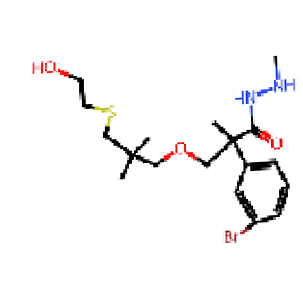 CNNC(=O)C(C)(COCC(C)(C)CSCCO)c1cccc(Br)c1